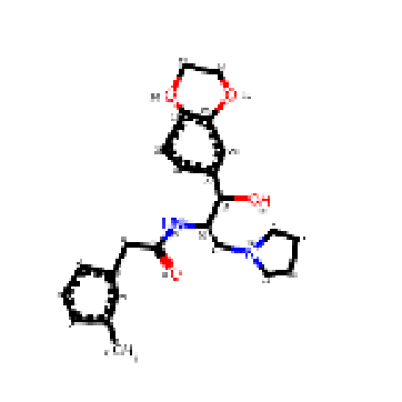 Cc1cccc(CC(=O)N[C@H](CN2CCCC2)C(O)c2ccc3c(c2)OCCO3)c1